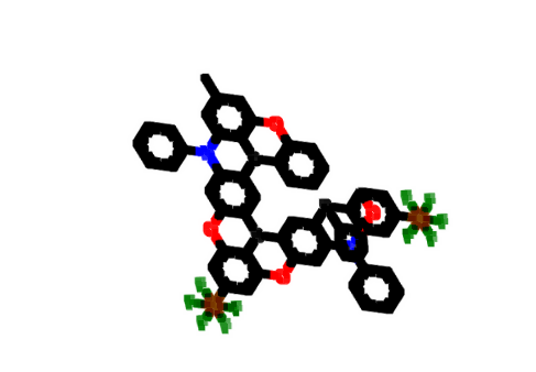 Cc1cc2c3c(c1)N(c1ccccc1)c1cc4c(cc1B3c1ccccc1O2)B1c2cc3c(cc2Oc2cc(S(F)(F)(F)(F)F)cc(c21)O4)N(c1ccccc1)c1cc(S(F)(F)(F)(F)F)cc2c1B3c1ccccc1O2